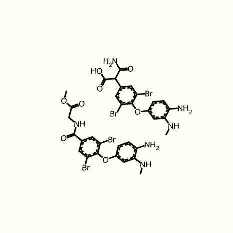 CNc1cc(Oc2c(Br)cc(C(=O)NCC(=O)OC)cc2Br)ccc1N.CNc1cc(Oc2c(Br)cc(C(C(N)=O)C(=O)O)cc2Br)ccc1N